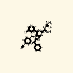 C#C[C@H]1CC[C@H](Cn2c(C(OC)C3CCCCC3)nc3nc(C(=N)OC(N)=O)nc(-c4cncc(Cl)c4)c32)CC1